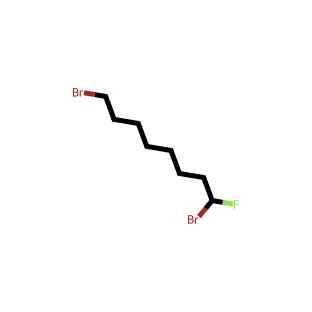 FC(Br)CCCCCCCBr